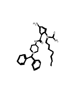 CCCCCCCN(C(N)=O)c1ccc(N)cc1C(=O)NC1CCN(C(c2ccccc2)c2ccccc2)CC1